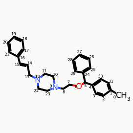 Cc1ccc(C(OCCN2CCN(C/C=C/c3ccccc3)CC2)c2ccccc2)cc1